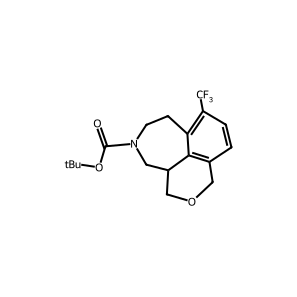 CC(C)(C)OC(=O)N1CCc2c(C(F)(F)F)ccc3c2C(COC3)C1